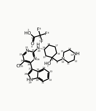 O=C(O)C(F)(F)F.OC1(CN2CCNCC2)CCC[C@@H](Nc2ncc(Cl)c(-c3c[nH]c4ccccc34)n2)C1